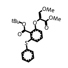 COC=C(Oc1cccc(Sc2ccccc2)c1C(=O)OC(C)(C)C)C(=O)OC